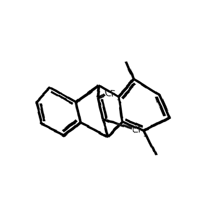 Cc1ccc(C)c2c1C1C(C(F)(F)F)=C(C(F)(F)F)C2c2ccccc21